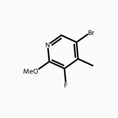 COc1ncc(Br)c(C)c1F